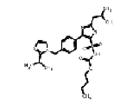 CCCCOC(=O)NS(=O)(=O)c1sc(CC(C)C)nc1-c1ccc(Cn2ccnc2C(C)C)cc1